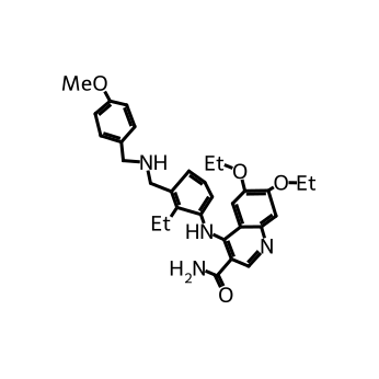 CCOc1cc2ncc(C(N)=O)c(Nc3cccc(CNCc4ccc(OC)cc4)c3CC)c2cc1OCC